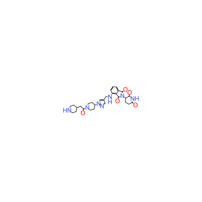 O=C1CCC(N2C(=O)c3cccc(NCc4cnn(C5CCN(C(=O)CC6CCNCC6)CC5)c4)c3C2=O)C(=O)N1